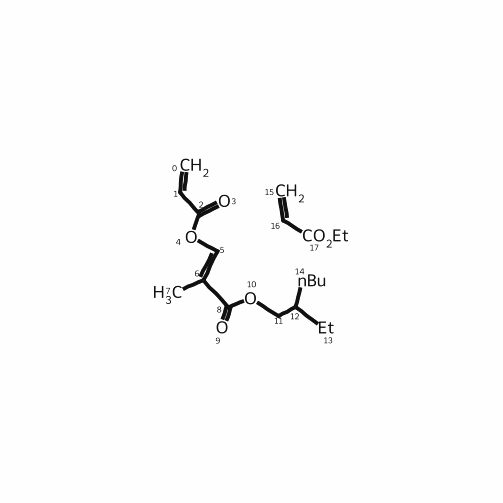 C=CC(=O)OC=C(C)C(=O)OCC(CC)CCCC.C=CC(=O)OCC